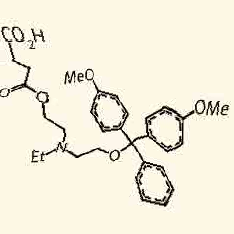 CCN(CCOC(=O)CCC(=O)O)CCOC(c1ccccc1)(c1ccc(OC)cc1)c1ccc(OC)cc1